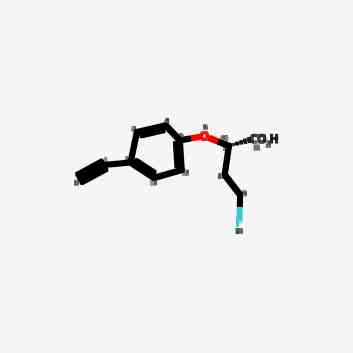 C#Cc1ccc(O[C@@H](CCF)C(=O)O)cc1